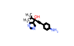 CC(C)C(O)(C#Cc1ccc(N)cc1)c1cncnc1